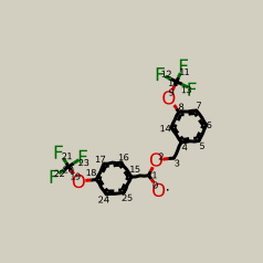 [O]C(OCc1cccc(OC(F)(F)F)c1)c1ccc(OC(F)(F)F)cc1